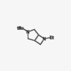 CCN1CC2CN(C(C)(C)C)CC21